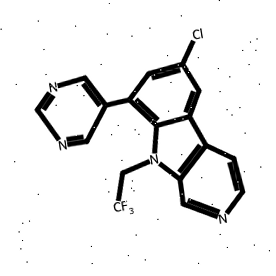 FC(F)(F)Cn1c2cnccc2c2cc(Cl)cc(-c3cncnc3)c21